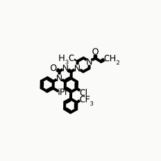 C=CC(=O)N1CCN(c2nc(=O)n(-c3ccccc3C(C)C)c3cc(-c4ccccc4C(F)(F)F)c(Cl)cc23)[C@@H](C)C1